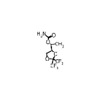 CC(OC(N)=O)C1COC(C(F)(F)F)(C(F)(F)F)O1